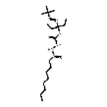 CCCCCCCCS(=S)NNC(=S)NC(CC)(CC)N=NC(C)(C)C